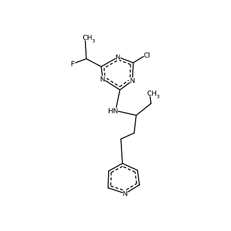 CCC(CCc1ccncc1)Nc1nc(Cl)nc(C(C)F)n1